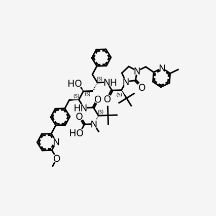 COc1cccc(-c2ccc(C[C@H](NC(=O)[C@@H](N(C)C(=O)O)C(C)(C)C)[C@@H](O)C[C@H](Cc3ccccc3)NC(=O)[C@@H](N3CCN(Cc4cccc(C)n4)C3=O)C(C)(C)C)cc2)n1